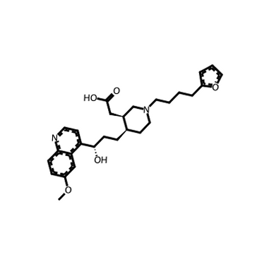 COc1ccc2nccc([C@@H](O)CC[C@@H]3CCN(CCCCc4ccco4)C[C@@H]3CC(=O)O)c2c1